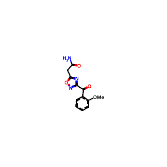 COc1ccccc1C(=O)c1noc(CC(N)=O)n1